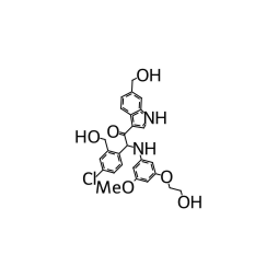 COc1cc(NC(C(=O)c2c[nH]c3cc(CO)ccc23)c2ccc(Cl)cc2CO)cc(OCCO)c1